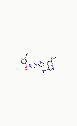 C#Cc1cc(C(=O)N2CCN(c3ccc(-c4cc(OCC)cn5ncc(C#N)c45)cn3)CC2)ccc1C